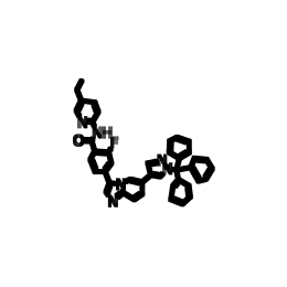 CCc1ccc(NC(=O)c2ccc(-c3cnc4ccc(-c5cnn(C(c6ccccc6)(c6ccccc6)c6ccccc6)c5)cn34)cc2F)nc1